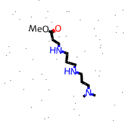 COC(=O)CCNCCCNCCCN(C)C